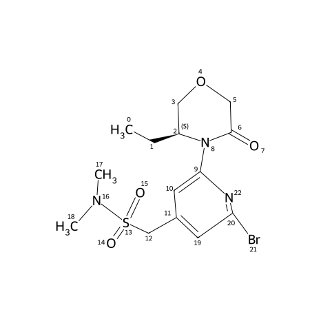 CC[C@H]1COCC(=O)N1c1cc(CS(=O)(=O)N(C)C)cc(Br)n1